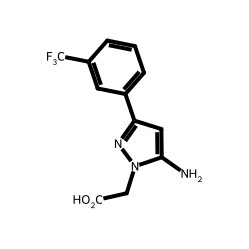 Nc1cc(-c2cccc(C(F)(F)F)c2)nn1CC(=O)O